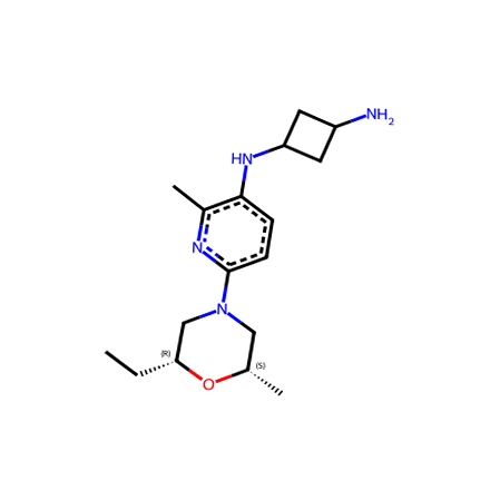 CC[C@@H]1CN(c2ccc(NC3CC(N)C3)c(C)n2)C[C@H](C)O1